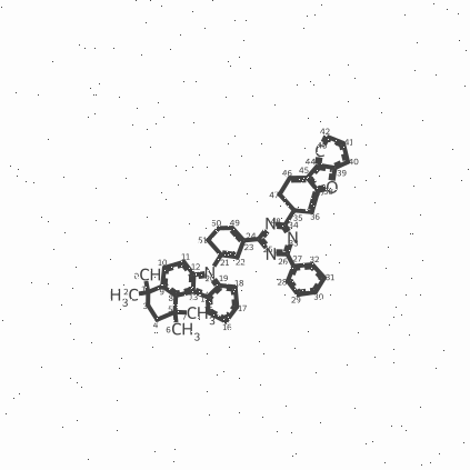 CC1(C)CCC(C)(C)c2c1ccc1c2c2ccccc2n1C1=CC(c2nc(-c3ccccc3)nc(C3C=c4oc5ccccc5c4=CC3)n2)=CCC1